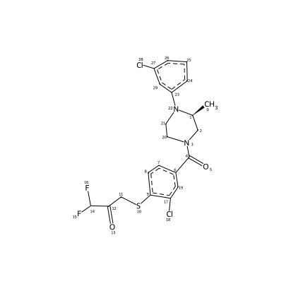 C[C@H]1CN(C(=O)c2ccc(SCC(=O)C(F)F)c(Cl)c2)CCN1c1cccc(Cl)c1